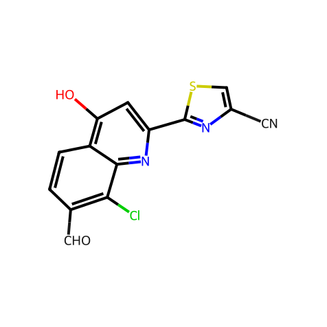 N#Cc1csc(-c2cc(O)c3ccc(C=O)c(Cl)c3n2)n1